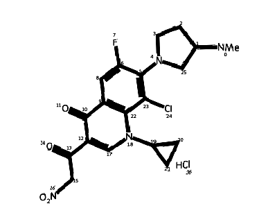 CNC1CCN(c2c(F)cc3c(=O)c(C(=O)C[N+](=O)[O-])cn(C4CC4)c3c2Cl)C1.Cl